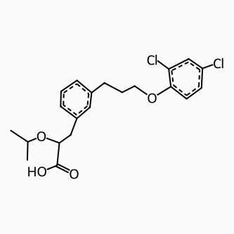 CC(C)OC(Cc1cccc(CCCOc2ccc(Cl)cc2Cl)c1)C(=O)O